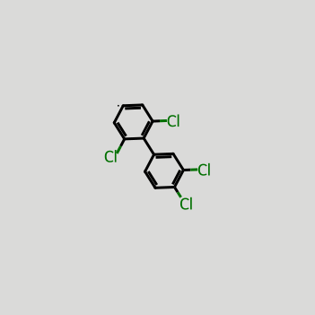 Clc1ccc(-c2c(Cl)c[c]cc2Cl)cc1Cl